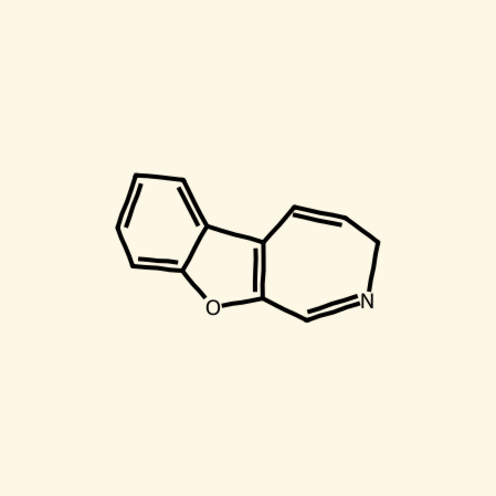 C1=Cc2c(oc3ccccc23)C=NC1